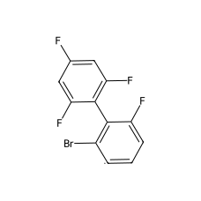 Fc1cc(F)c(-c2c(Br)[c]ccc2F)c(F)c1